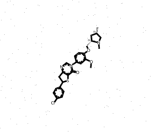 COc1cc(-n2cnc3c(c2=O)SC(c2ccc(Cl)cc2)C3)ccc1OC[C@@H]1C[C@H](F)CN1C